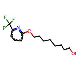 OCCCCCCCCOc1cccc(C(F)(F)F)n1